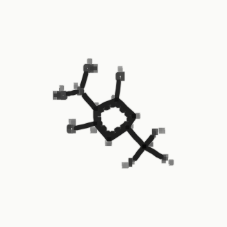 OB(O)c1c(Cl)cc(C(F)(F)F)cc1Cl